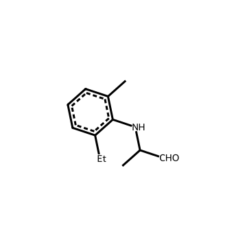 CCc1cccc(C)c1NC(C)C=O